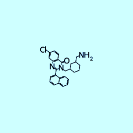 NCC1CCCC(Cn2c(-c3cccc4ccccc34)nc3cc(Cl)ccc3c2=O)C1